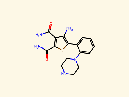 NC(=O)c1sc(-c2ccccc2N2CCNCC2)c(N)c1C(N)=O